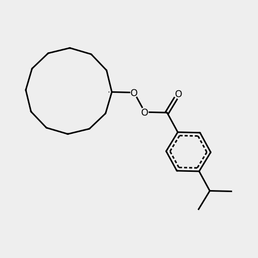 CC(C)c1ccc(C(=O)OO[C]2CCCCCCCCCCC2)cc1